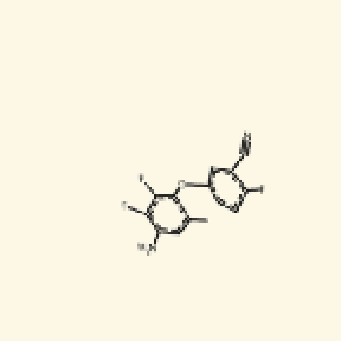 Cc1cc(N)c(F)c(F)c1Oc1ccc(F)c(C#N)c1